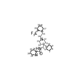 O=C(NCC1(c2ccccc2)CCN(CCc2ccccc2C(F)(F)F)CC1)c1ccccn1